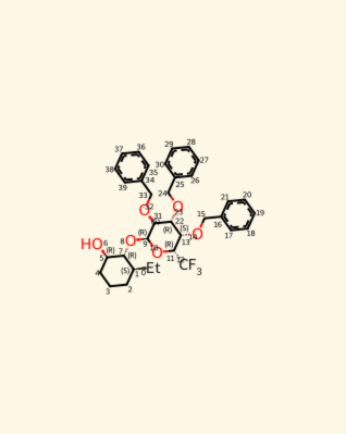 CC[C@H]1CCC[C@@H](O)[C@@H]1O[C@@H]1O[C@@H](C(F)(F)F)[C@@H](OCc2ccccc2)[C@@H](OCc2ccccc2)[C@@H]1OCc1ccccc1